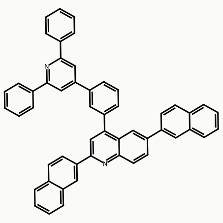 c1ccc(-c2cc(-c3cccc(-c4cc(-c5ccc6ccccc6c5)nc5ccc(-c6ccc7ccccc7c6)cc45)c3)cc(-c3ccccc3)n2)cc1